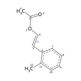 CC(=O)O/C=C/c1ccccc1C